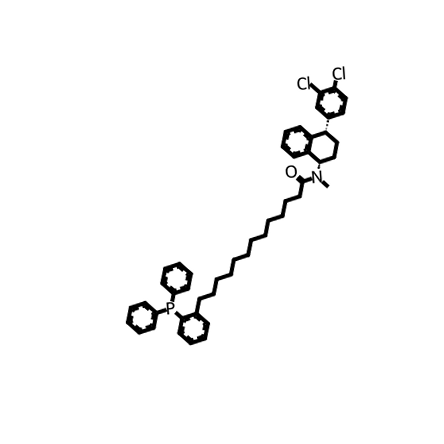 CN(C(=O)CCCCCCCCCCCCc1ccccc1P(c1ccccc1)c1ccccc1)[C@H]1CC[C@@H](c2ccc(Cl)c(Cl)c2)c2ccccc21